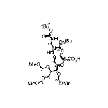 COCOC[C@@H](OCOC)[C@@H](OCOC)[C@H]1C[C@@H](NN(CNC(=O)OC(C)(C)C)C(=O)OC(C)(C)C)C=C(C(=O)O)O1